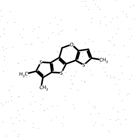 Cc1cc2c(s1)-c1sc3c(C)c(C)sc3c1CO2